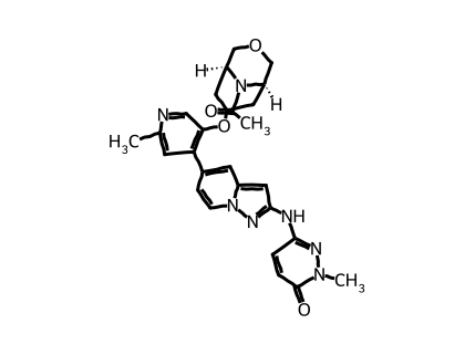 CC(=O)N1[C@@H]2COC[C@H]1CC(Oc1cnc(C)cc1-c1ccn3nc(Nc4ccc(=O)n(C)n4)cc3c1)C2